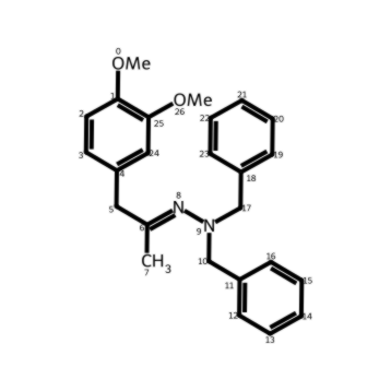 COc1ccc(CC(C)=NN(Cc2ccccc2)Cc2ccccc2)cc1OC